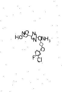 N.Oc1cc(-c2cnc(OC3CC(Oc4ccc(F)c(Cl)c4)C3)cn2)on1